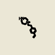 C=Cc1ccc(CC[N+]2(C)CCCNCC2)cc1